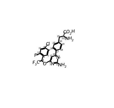 Nc1nc(OC(c2ccc(Cl)cc2F)C(F)(F)F)cc(-c2ccc(C[C@H](N)C(=O)O)cc2)n1